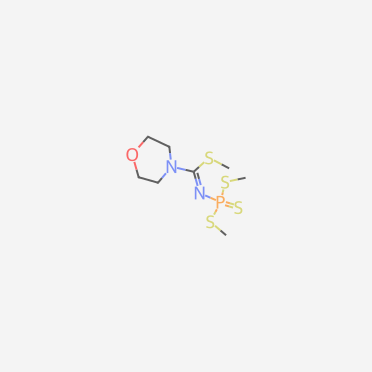 CSC(=NP(=S)(SC)SC)N1CCOCC1